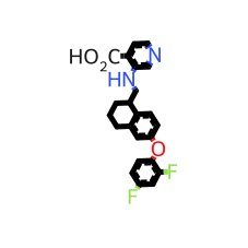 O=C(O)c1ccncc1NCC1CCCc2cc(Oc3ccc(F)cc3F)ccc21